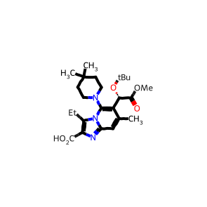 CCc1c(C(=O)O)nc2cc(C)c([C@H](OC(C)(C)C)C(=O)OC)c(N3CCC(C)(C)CC3)n12